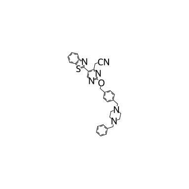 N#CCc1nc(OCc2ccc(CN3CCN(Cc4ccccc4)CC3)cc2)ncc1-c1nc2ccccc2s1